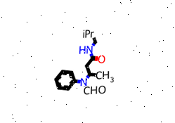 CC(C)CNC(=O)CC(C)N(C=O)c1ccccc1